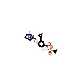 O=C(NS(=O)(=O)C1CC1)c1cc(C2CC2)c(OCC2CC3CC[C@@H](C2)N3)cc1F